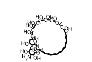 C[C@H]1C[C@H](O)[C@@H](C)/C=C/C=C/C=C/C=C/C=C/C=C/C=C/[C@H](O[C@@H]2OC[C@@H](O)[C@H](N)[C@@H]2O)C[C@@H]2O[C@](O)(C[C@@H](O)C[C@@H](O)[C@H](O)CC[C@@H](O)C[C@@H](O)CC(=O)O1)C[C@H](O)[C@H]2C(=O)O